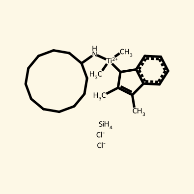 CC1=C(C)[CH]([Ti+2]([CH3])([CH3])[NH]C2CCCCCCCCCCC2)c2ccccc21.[Cl-].[Cl-].[SiH4]